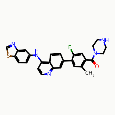 Cc1cc(-c2ccc3c(Nc4ccc5scnc5c4)ccnc3c2)c(F)cc1C(=O)N1CCNCC1